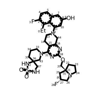 CCc1c(F)ccc2cc(O)cc(N3CCc4c(nc(OC[C@@]56CCCN5C[C@H](F)C6)nc4N4CCCC5(CNS(=O)(=O)N5)C4)C3)c12